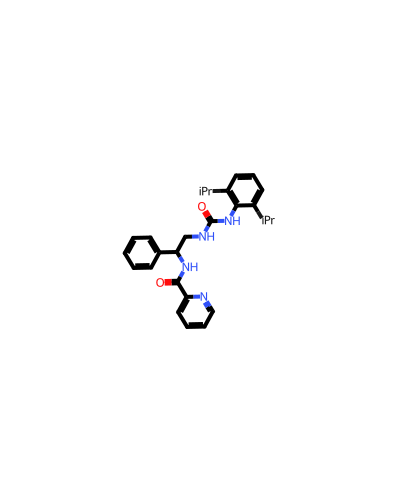 CC(C)c1cccc(C(C)C)c1NC(=O)NCC(NC(=O)c1ccccn1)c1ccccc1